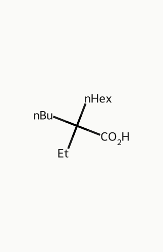 CCCCCCC(CC)(CCCC)C(=O)O